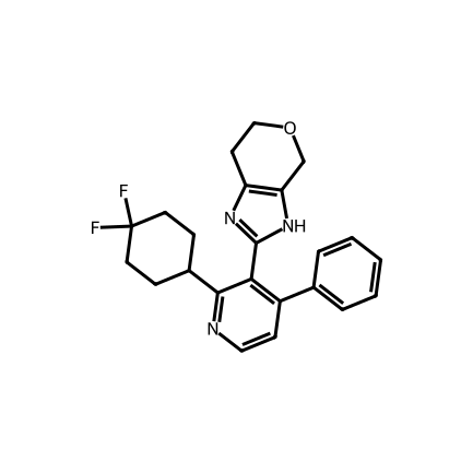 FC1(F)CCC(c2nccc(-c3ccccc3)c2-c2nc3c([nH]2)COCC3)CC1